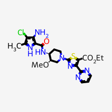 CCOC(=O)c1sc(N2CC[C@@H](NC(=O)c3[nH]c(C)c(Cl)c3N)[C@@H](OC)C2)nc1-c1ncccn1